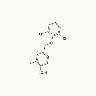 Cc1cc(COc2c(Cl)cccc2Cl)ccc1C(=O)O